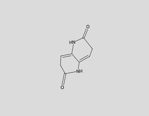 O=C1CC=C2NC(=O)CC=C2N1